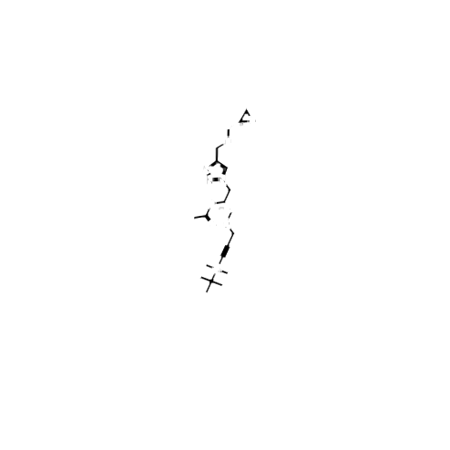 CC(=O)O[C@@H](COCC#C[Si](C)(C)C(C)(C)C)Cn1cc(COC[C@@H]2CO2)nn1